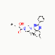 Cc1ccc2c(N3CCN(C(=O)[C@@H](O)CC(C)C)C[C@@H]3C(C)C)nc(-c3ccccc3)nc2c1